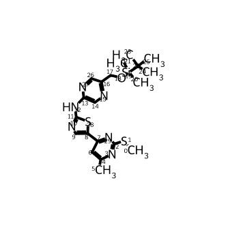 CSc1nc(C)cc(-c2cnc(Nc3cnc(CO[Si](C)(C)C(C)(C)C)cn3)s2)n1